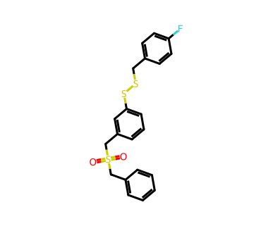 O=S(=O)(Cc1ccccc1)Cc1cccc(SSCc2ccc(F)cc2)c1